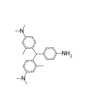 Cc1cc(N(C)C)ccc1C(c1ccc(N)cc1)c1ccc(N(C)C)cc1C